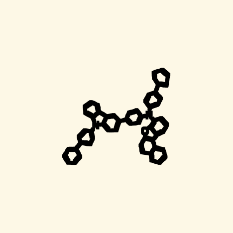 c1ccc(-c2ccc(N(c3ccc(-c4ccc5c(c4)c4ccccc4n5-c4ccc(-c5ccccc5)cc4)cc3)c3cccc4c3oc3ccc5ccccc5c34)cc2)cc1